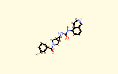 O=C(Nc1cccc2cnccc12)NC1C2CN(C(=O)c3cccc(F)c3)CC21